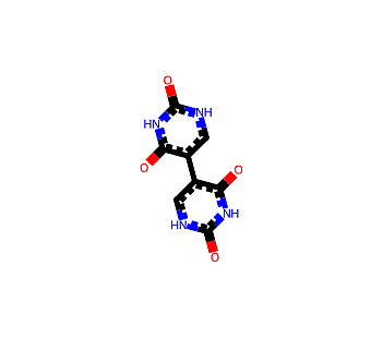 O=c1[nH]cc(-c2c[nH]c(=O)[nH]c2=O)c(=O)[nH]1